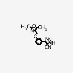 Cc1nc(COc2cccc(-c3nn[nH]c3C#N)c2)c(C)o1